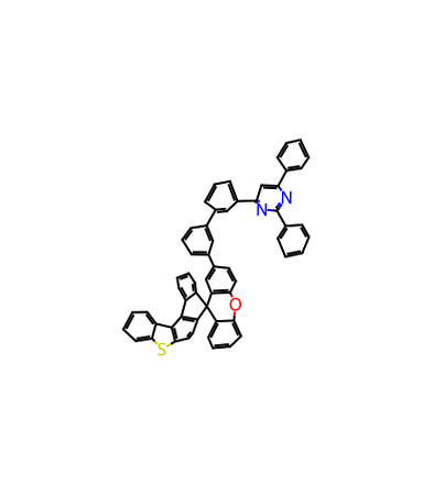 c1ccc(-c2cc(-c3cccc(-c4cccc(-c5ccc6c(c5)C5(c7ccccc7O6)c6ccccc6-c6c5ccc5sc7ccccc7c65)c4)c3)nc(-c3ccccc3)n2)cc1